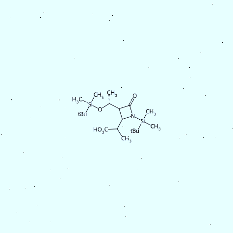 CC(C(=O)O)C1C([C@@H](C)O[Si](C)(C)C(C)(C)C)C(=O)N1[Si](C)(C)C(C)(C)C